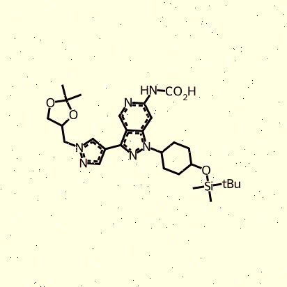 CC1(C)OCC(Cn2cc(-c3nn(C4CCC(O[Si](C)(C)C(C)(C)C)CC4)c4cc(NC(=O)O)ncc34)cn2)O1